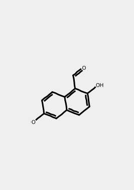 [O]c1ccc2c(C=O)c(O)ccc2c1